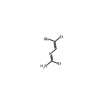 CC/C(=C/N=C(/N)CC)C(C)CC